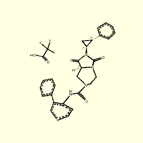 O=C(Nc1ccncc1-c1ccccc1)N1CCN2C(=O)N([C@H]3C[C@@H]3c3ccccc3)C(=O)[C@@H]2C1.O=C(O)C(F)(F)F